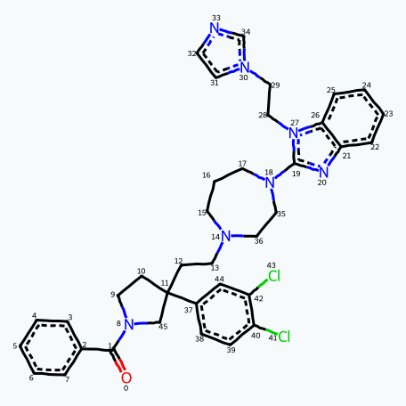 O=C(c1ccccc1)N1CCC(CCN2CCCN(c3nc4ccccc4n3CCn3ccnc3)CC2)(c2ccc(Cl)c(Cl)c2)C1